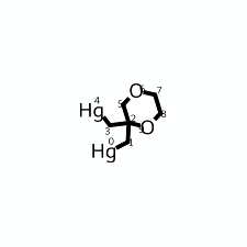 [Hg][CH2]C1([CH2][Hg])COCCO1